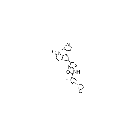 Cc1nc(C2CCOC2)sc1C(=O)Nc1nc(-c2ccc3c(c2)CCC(=O)N3Cc2cccnc2)cs1